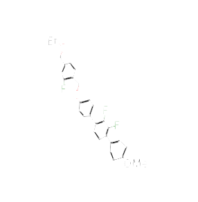 CCOCc1ccc(COc2ccc(-c3ccc(-c4ccc(OC)cc4)c(F)c3F)cc2)c(F)c1